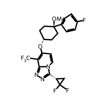 CO[C@]1(c2ccc(F)cc2)CC[C@@H](Oc2ccn3c([C@@H]4CC4(F)F)nnc3c2C(F)(F)F)CC1